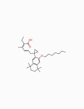 CCCCCCCOc1cc2c(cc1C1(CC=CC(C)=C(CC)C(=O)O)CC1)C(C)(C)CCC2(C)C